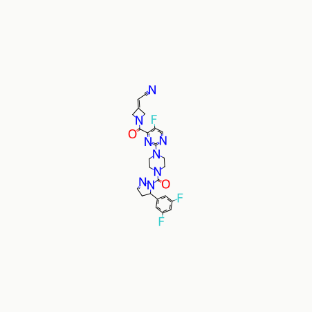 N#CC=C1CN(C(=O)c2nc(N3CCN(C(=O)N4N=CCC4c4cc(F)cc(F)c4)CC3)ncc2F)C1